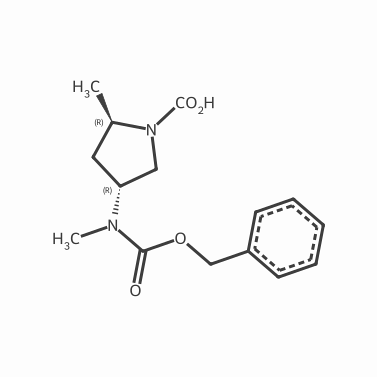 C[C@@H]1C[C@@H](N(C)C(=O)OCc2ccccc2)CN1C(=O)O